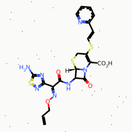 C=CCON=C(C(=O)NC1C(=O)N2C(C(=O)O)=C(S/C=C/c3ccccn3)CS[C@@H]12)c1nsc(N)n1